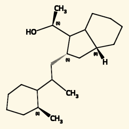 CC(C[C@H]1C[C@H]2CCCCC2C1[C@H](C)O)C1CCCC[C@@H]1C